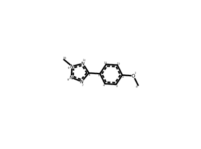 COc1ccc(-c2nnn(C)n2)cc1